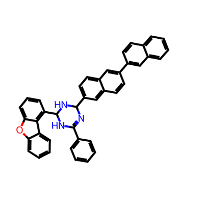 c1ccc(C2=NC(c3ccc4cc(-c5ccc6ccccc6c5)ccc4c3)NC(c3cccc4oc5ccccc5c34)N2)cc1